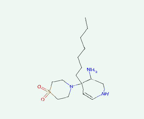 CCCCCCCC1(N2CCS(=O)(=O)CC2)C=CNCC1N